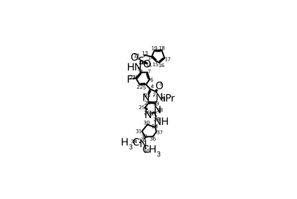 CC(C)n1c(=O)c(-c2ccc(NS(=O)(=O)Cc3ccccc3)c(F)c2)nc2cnc(NC3CCC(N(C)C)CC3)nc21